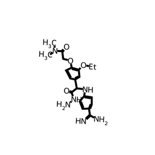 CCOc1cc(C(Nc2ccc(C(=N)N)cc2)C(=O)NN)ccc1OCC(=O)N(C)C